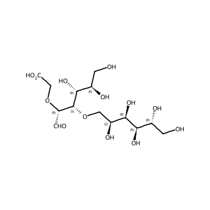 O=C[C@H](OCC(=O)O)[C@@H](OC[C@H](O)[C@@H](O)[C@H](O)[C@H](O)CO)[C@H](O)[C@H](O)CO